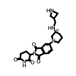 O=C1CCC(N2C(=O)c3ccc(N4CCC[C@H](NCC5CNC5)C4)cc3C2=O)C(=O)N1